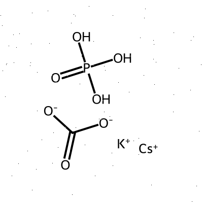 O=C([O-])[O-].O=P(O)(O)O.[Cs+].[K+]